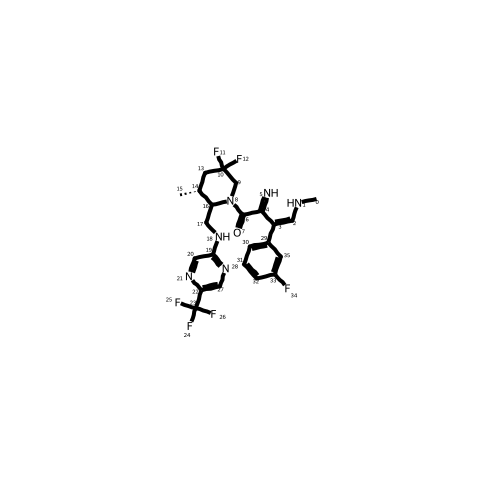 CN/C=C(\C(=N)C(=O)N1CC(F)(F)C[C@@H](C)C1CNc1cnc(C(F)(F)F)cn1)c1cccc(F)c1